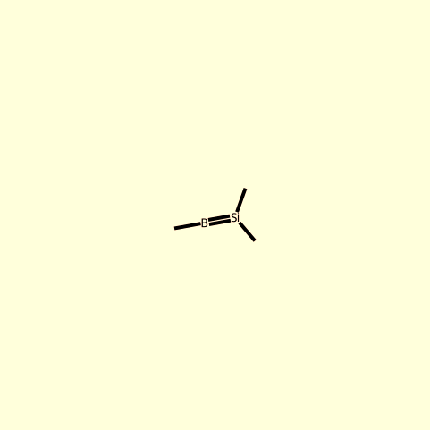 CB=[Si](C)C